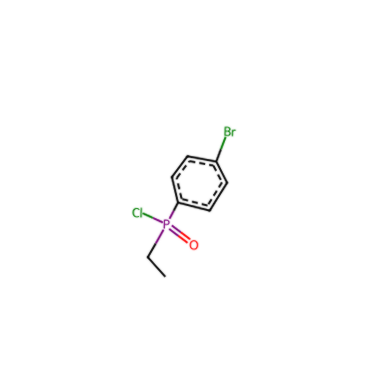 CCP(=O)(Cl)c1ccc(Br)cc1